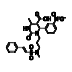 CC1=C(C(=O)O)C(c2cccc([N+](=O)[O-])c2)N(CCCN(C)S(=O)(=O)C=Cc2ccccc2)C(=O)N1